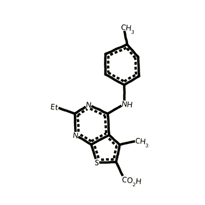 CCc1nc(Nc2ccc(C)cc2)c2c(C)c(C(=O)O)sc2n1